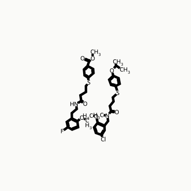 COC(=O)c1ccc(SCCCC(=O)NCCc2cc(F)ccc2OC)cc1.COc1ccc(Cl)cc1CN(C)C(=O)CCCSc1ccc(OC(C)C)cc1